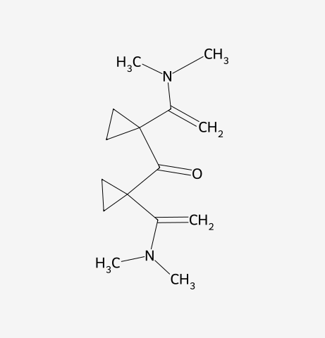 C=C(N(C)C)C1(C(=O)C2(C(=C)N(C)C)CC2)CC1